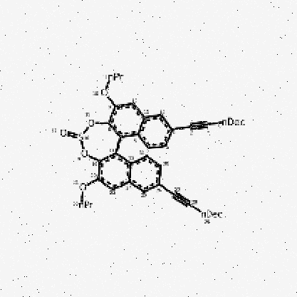 CCCCCCCCCCC#Cc1ccc2c3c(c(OCCC)cc2c1)OS(=O)Oc1c(OCCC)cc2cc(C#CCCCCCCCCCC)ccc2c1-3